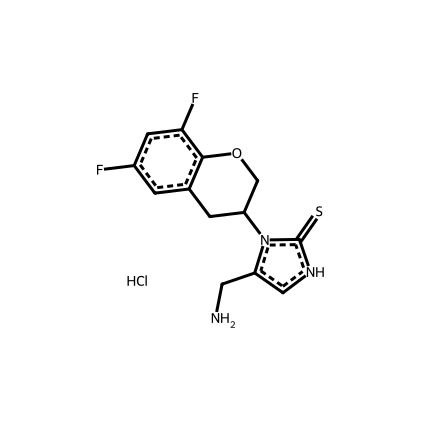 Cl.NCc1c[nH]c(=S)n1C1COc2c(F)cc(F)cc2C1